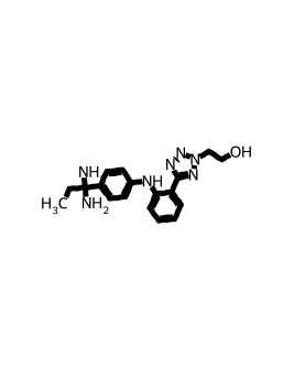 CCC(N)(N)c1ccc(Nc2ccccc2-c2nnn(CCO)n2)cc1